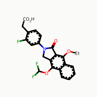 CCOc1c2c(c(OC(F)F)c3ccccc13)CN(c1ccc(CC(=O)O)c(F)c1)C2=O